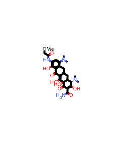 COCC(=O)Nc1cc(N(C)C)c2c(c1O)C(=O)C1=C(O)C3(O)C(=O)C(C(N)=O)=C(O)[C@@H](N(C)C)C3CC1C2